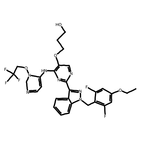 CCOc1cc(F)c(Cn2nc(-c3ncc(OCCCO)c(NC4=CC=NCN4OCC(F)(F)F)n3)c3ccccc32)c(F)c1